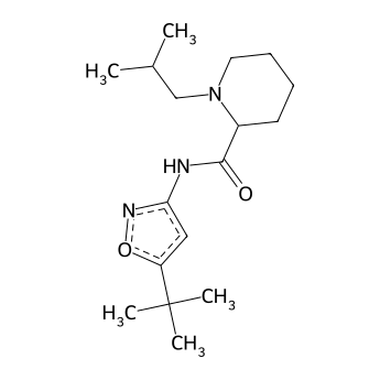 CC(C)CN1CCCCC1C(=O)Nc1cc(C(C)(C)C)on1